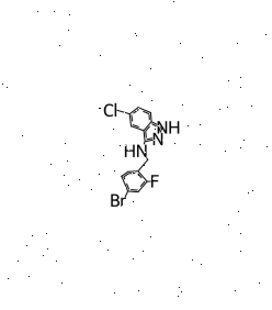 Fc1cc(Br)ccc1CNc1n[nH]c2ccc(Cl)cc12